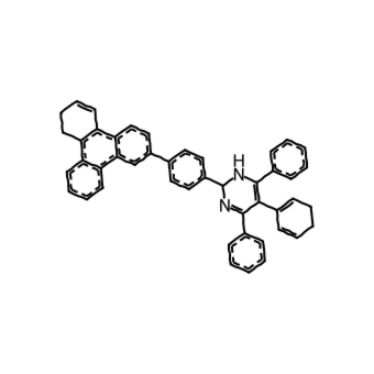 C1=CC(C2=C(c3ccccc3)NC(c3ccc(-c4ccc5c6c(c7ccccc7c5c4)CCC=C6)cc3)N=C2c2ccccc2)=CCC1